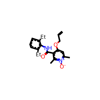 C=CCOc1cc(C)[n+]([O-])c(C)c1C(=O)Nc1c(CC)cccc1CC